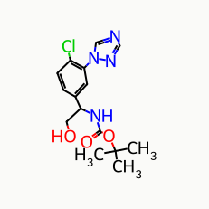 CC(C)(C)OC(=O)NC(CO)c1ccc(Cl)c(-n2cncn2)c1